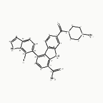 CN1CCN(C(=O)c2ccc3c(c2)[nH]c2c(C(N)=O)ccc(-c4ncc5cc[nH]c5c4F)c23)CC1